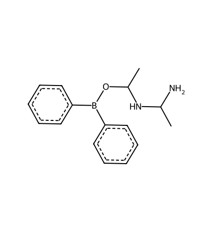 CC(N)NC(C)OB(c1ccccc1)c1ccccc1